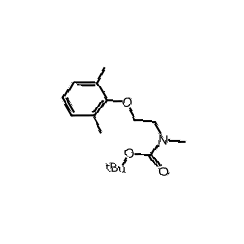 Cc1cccc(C)c1OCCN(C)C(=O)OC(C)(C)C